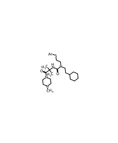 CC(=O)SCCN(CCC1CCCCC1)C(=O)NC(C)(C)C(=O)N1CCN(C)CC1